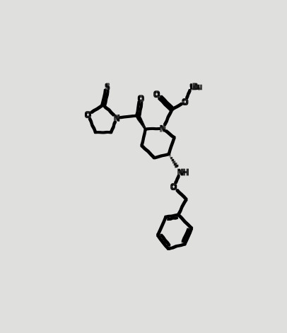 CC(C)(C)OC(=O)N1C[C@H](NOCc2ccccc2)CC[C@H]1C(=O)N1CCOC1=S